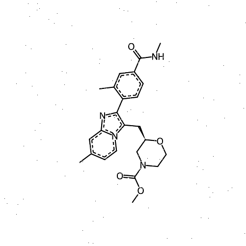 CNC(=O)c1ccc(-c2nc3cc(C)ccn3c2C[C@@H]2CN(C(=O)OC)CCO2)c(C)c1